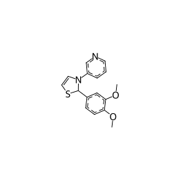 COc1ccc(C2SC=CN2c2cccnc2)cc1OC